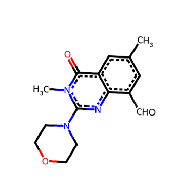 Cc1cc(C=O)c2nc(N3CCOCC3)n(C)c(=O)c2c1